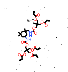 C=CC(=O)OCC(COC(C)=O)(COC(=O)C=C)COC(=O)NCC1(C)CC(NC(=O)OCC(COC(=O)C=C)(COC(=O)C=C)COC(=O)C=C)CC(C)(C)C1